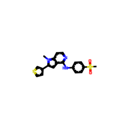 Cn1c(-c2ccsc2)cc2c(Nc3ccc(S(C)(=O)=O)cc3)nccc21